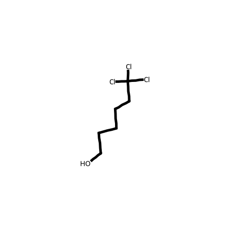 OCCCCCC(Cl)(Cl)Cl